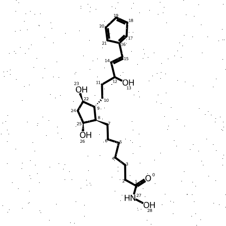 O=C(CCCCCC[C@@H]1[C@@H](CCC(O)/C=C/c2ccccc2)[C@H](O)C[C@@H]1O)NO